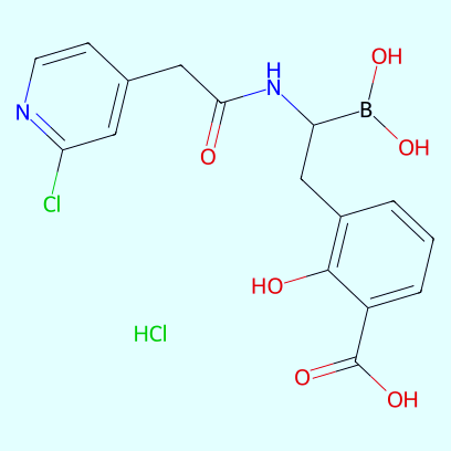 Cl.O=C(Cc1ccnc(Cl)c1)NC(Cc1cccc(C(=O)O)c1O)B(O)O